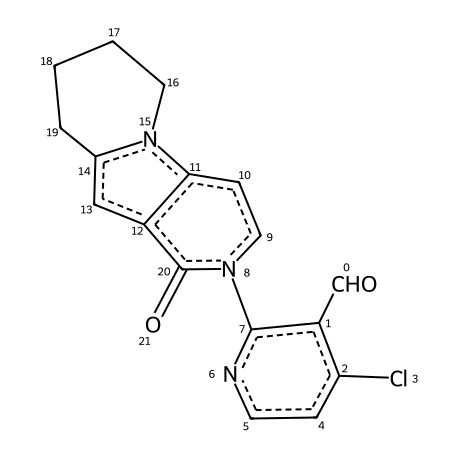 O=Cc1c(Cl)ccnc1-n1ccc2c(cc3n2CCCC3)c1=O